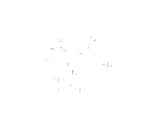 CC(NS(=O)(=O)C1CC1)c1cn(CC(C)(C)C)c2cc(-c3cnccc3C#N)c(F)cc12